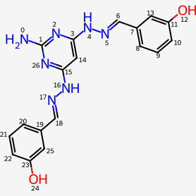 Nc1nc(N/N=C/c2cccc(O)c2)cc(N/N=C/c2cccc(O)c2)n1